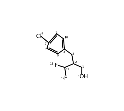 OCC(Cc1ccc(Cl)cc1)C(F)F